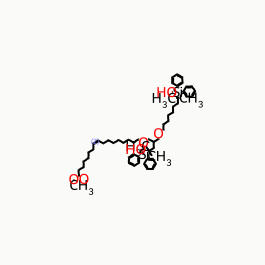 COC(=O)CCCCCC/C=C\CCCCCCCCOCC(COCCCCCCCC(C)(C)[Si](O)(c1ccccc1)c1ccccc1)CC(C)(C)[Si](O)(c1ccccc1)c1ccccc1